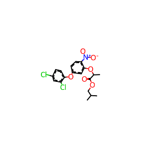 CC(C)COC(=O)C(C)Oc1cc(Oc2ccc(Cl)cc2Cl)ccc1[N+](=O)[O-]